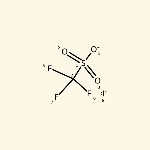 O=S(=O)([O-])C(F)(F)F.[I+]